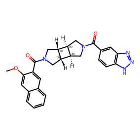 COc1cc2ccccc2cc1C(=O)N1C[C@@H]2[C@H]3CN(C(=O)c4ccc5[nH]nnc5c4)C[C@H]3[C@@H]2C1